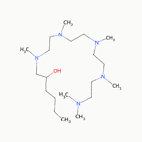 CCCCC(O)CN(C)CCN(C)CCN(C)CCN(C)CCN(C)C